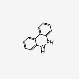 c1ccc2c(c1)NPc1ccccc1-2